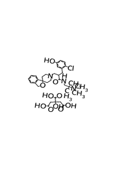 CN(C)C(C)(C)CNC(=O)C(Cc1cc(O)ccc1Cl)CN1CCC2(CC1)OCc1ccccc12.O=C(O)CC(O)(CC(=O)O)C(=O)O